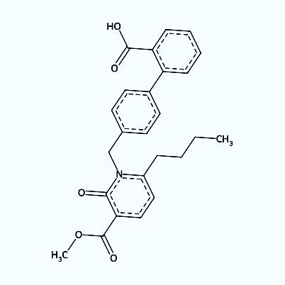 CCCCc1ccc(C(=O)OC)c(=O)n1Cc1ccc(-c2ccccc2C(=O)O)cc1